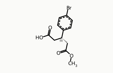 COC(=O)C[C@H](CC(=O)O)c1ccc(Br)cc1